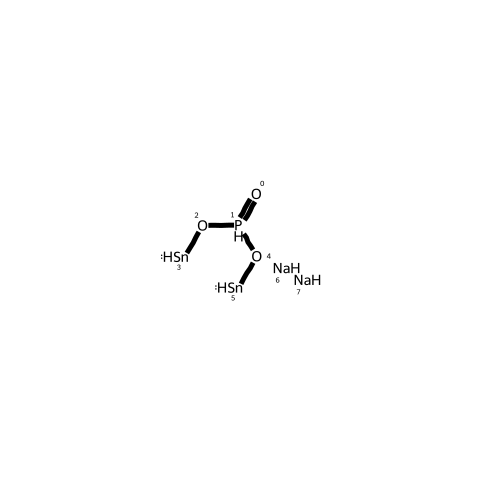 O=[PH]([O][SnH])[O][SnH].[NaH].[NaH]